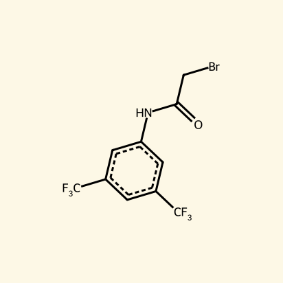 O=C(CBr)Nc1cc(C(F)(F)F)cc(C(F)(F)F)c1